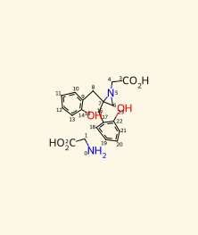 NCC(=O)O.O=C(O)CN1CC1(Cc1ccccc1O)Cc1ccccc1O